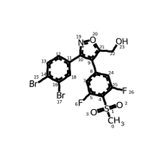 CS(=O)(=O)c1c(F)cc(-c2c(-c3ccc(Br)c(Br)c3)noc2CO)cc1F